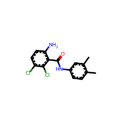 Cc1ccc(NC(=O)c2c(N)ccc(Cl)c2Cl)cc1C